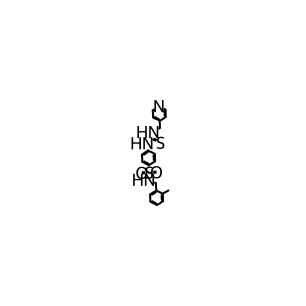 Cc1ccccc1CNS(=O)(=O)c1ccc(NC(=S)NCc2ccncc2)cc1